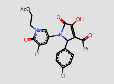 CC(=O)OCCn1cc(N2C(=O)C(O)=C(C(=O)C(C)C)C2c2ccc(Cl)cc2)cc(Cl)c1=O